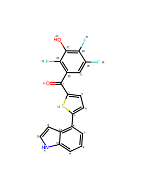 O=C(c1ccc(-c2cccc3[nH]ccc23)s1)c1cc(F)c(F)c(O)c1F